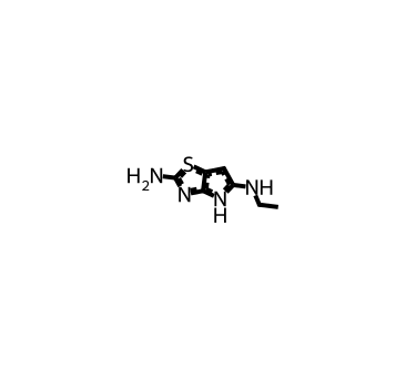 CCNc1cc2sc(N)nc2[nH]1